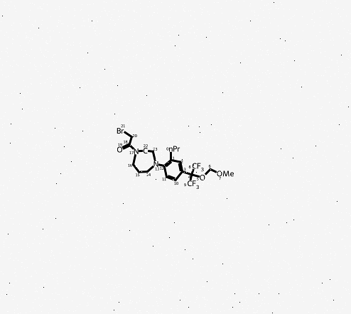 CCCc1cc(C(OCOC)(C(F)(F)F)C(F)(F)F)ccc1N1CCCN(C(=O)CBr)CC1